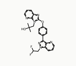 CC(C)(O)Cn1c(Oc2ccc(-c3nn(CC(F)F)c4cccnc34)cc2)nc2cccnc21